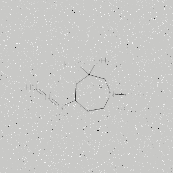 CC1(O)CC(N=[N+]=N)CCN(C(=O)[O-])C1